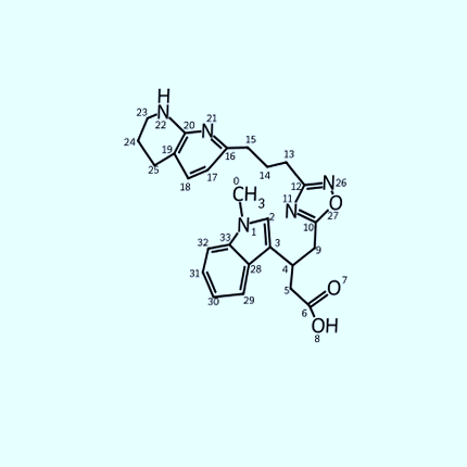 Cn1cc(C(CC(=O)O)Cc2nc(CCCc3ccc4c(n3)NCCC4)no2)c2ccccc21